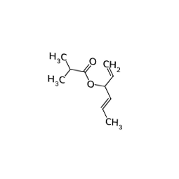 C=CC(/C=C/C)OC(=O)C(C)C